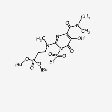 CCC(C)OP(=O)(CCN(C)c1nc(C(=O)N(C)C)c(O)c(=O)n1S(=O)(=O)CC)OC(C)CC